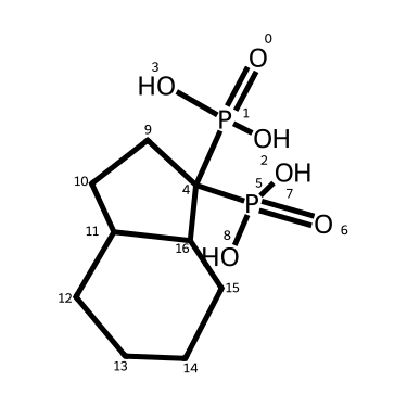 O=P(O)(O)C1(P(=O)(O)O)CCC2CCCCC21